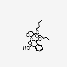 CCCCOC1(OCCCC)CCOC1OC(=O)c1ccccc1C(=O)O